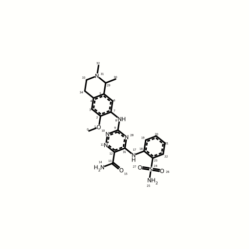 COc1cc2c(cc1Nc1nnc(C(N)=O)c(Nc3ccccc3S(N)(=O)=O)n1)C(C)N(C)CC2